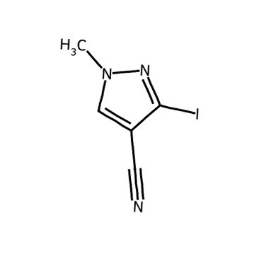 Cn1cc(C#N)c(I)n1